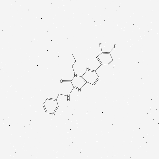 CCCn1c(=O)c(NCc2cccnc2)nc2ccc(-c3ccc(F)c(F)c3)nc21